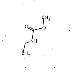 BCNC(=O)OC